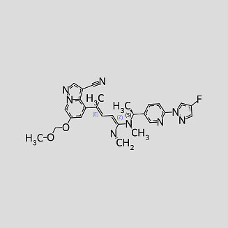 C=N/C(=C\C=C(/C)c1cc(OCOC)cn2ncc(C#N)c12)N(C)[C@@H](C)c1ccc(-n2cc(F)cn2)nc1